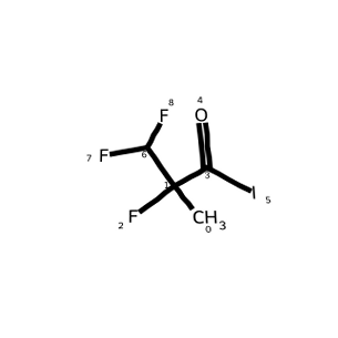 CC(F)(C(=O)I)C(F)F